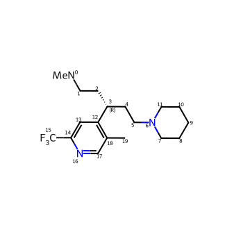 CNCC[C@H](CCN1CCCCC1)c1cc(C(F)(F)F)ncc1C